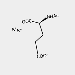 CC(=O)N[C@@H](CCC(=O)[O-])C(=O)[O-].[K+].[K+]